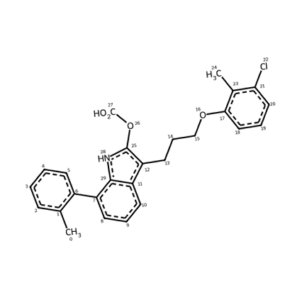 Cc1ccccc1-c1cccc2c(CCCOc3cccc(Cl)c3C)c(OC(=O)O)[nH]c12